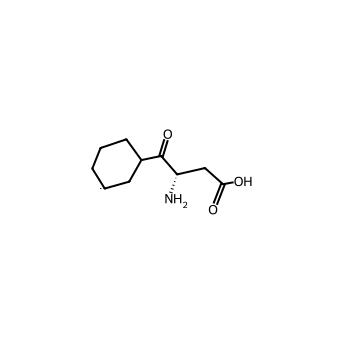 N[C@@H](CC(=O)O)C(=O)C1C[CH]CCC1